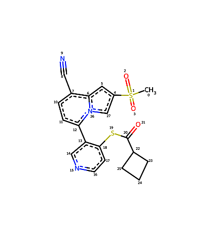 CS(=O)(=O)c1cc2c(C#N)ccc(-c3cnccc3SC(=O)C3CCC3)n2c1